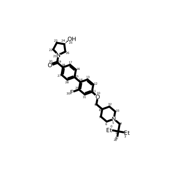 CCC(F)(CC)CN1CCC(COc2ccc(-c3ccc(C(=O)N4CC[C@H](O)C4)cc3)c(F)c2)CC1